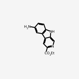 CCOC(=O)c1cc2c(cn1)[nH]c1ccc(N)cc12